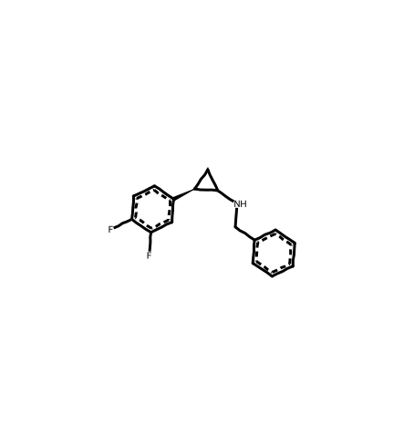 Fc1ccc([C@H]2CC2NCc2ccccc2)cc1F